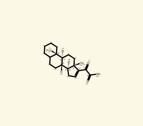 C[C@]12CCCCC1CC[C@@H]1[C@@H]2CC[C@]2(C)C(C(=O)C(=O)O)=CC[C@@H]12